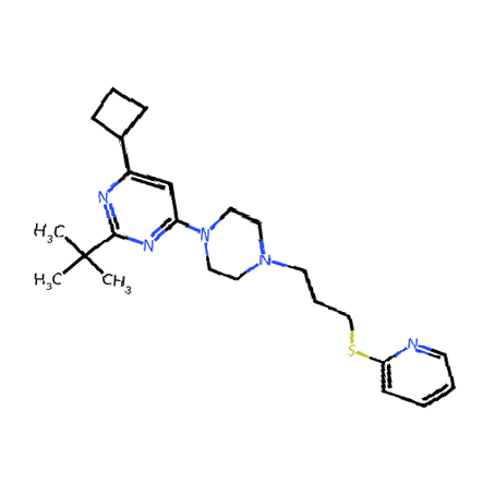 CC(C)(C)c1nc(C2CCC2)cc(N2CCN(CCCSc3ccccn3)CC2)n1